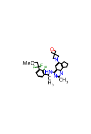 COCC(F)(F)c1cccc(C(C)Nc2nc(C)nc3c4c(c(N5CC6(COC6)C5)cc23)CCC4)c1F